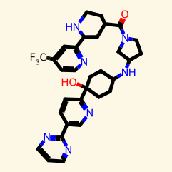 O=C(C1CCNC(c2cc(C(F)(F)F)ccn2)C1)N1CCC(NC2CCC(O)(c3ccc(-c4ncccn4)cn3)CC2)C1